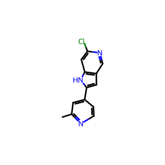 Cc1cc(-c2cc3cnc(Cl)cc3[nH]2)ccn1